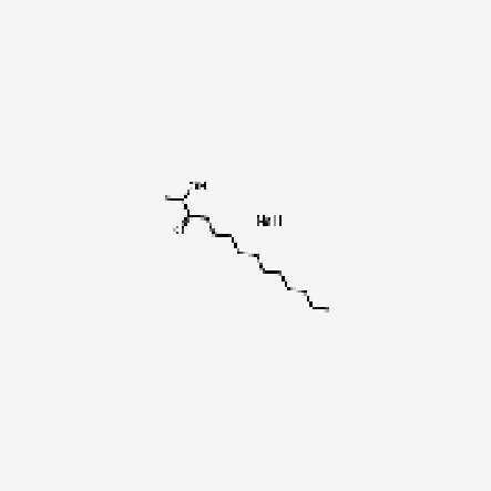 [CH2]C(O)C(=O)CCCCCCCCCCC.[NaH]